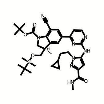 CNC(=O)c1cc(Nc2nccc(-c3cc(C#N)c4c(c3)[C@@](C)(CO[Si](C)(C)C(C)(C)C)CN4C(=O)OC(C)(C)C)n2)n(CCC2CC2)n1